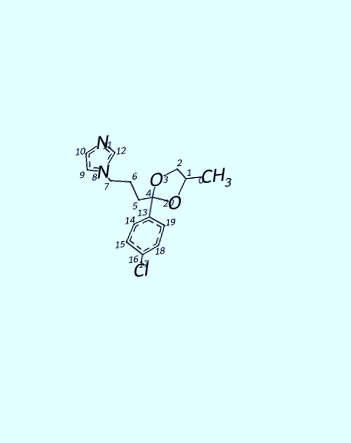 CC1COC(CCCn2ccnc2)(c2ccc(Cl)cc2)O1